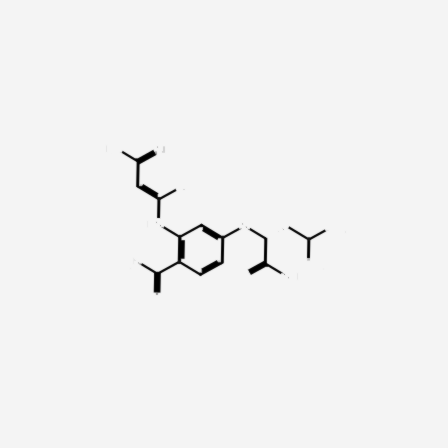 CC(=N)/C=C(\S)Nc1cc(N[C@H](CC(C)C)C(N)=O)ccc1C(N)=O